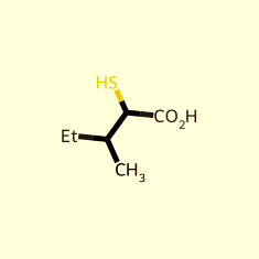 CCC(C)C(S)C(=O)O